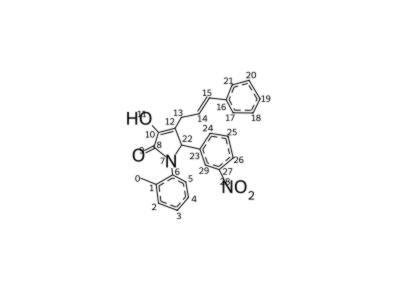 Cc1ccccc1N1C(=O)C(O)=C(CC=Cc2ccccc2)C1c1cccc([N+](=O)[O-])c1